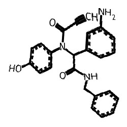 C#CC(=O)N(c1ccc(O)cc1)C(C(=O)NCc1ccccc1)c1cccc(N)c1